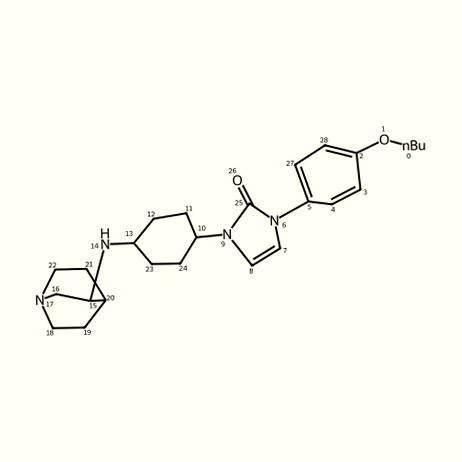 CCCCOc1ccc(-n2ccn(C3CCC(NC4CN5CCC4CC5)CC3)c2=O)cc1